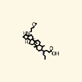 CC/C=C(\CCC(=O)O)C1=CCC2(C)C(CCC3(C)C2CCC2[C@H]4CCCC4(NCCCOC)CC[C@]23C)C1C